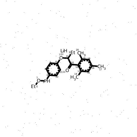 CCOPc1ccc(OC(CC)C(=O)c2c(C)cc(C)cc2C)cc1.[LiH]